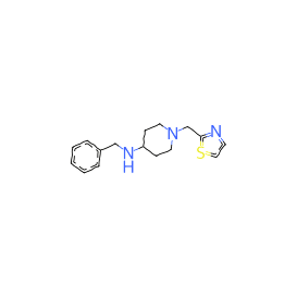 c1ccc(CNC2CCN(Cc3nccs3)CC2)cc1